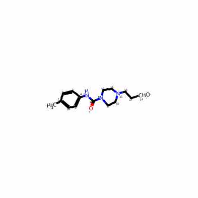 Cc1ccc(NC(=O)N2CCN(CC[C]=O)CC2)cc1